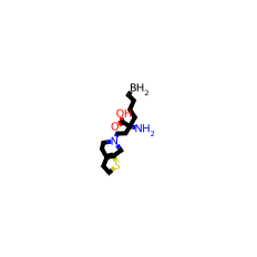 BCCCCC(N)(CCN1CCC2=C(C1)SCC2)C(=O)O